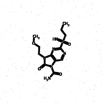 CCCS(=N)(=O)c1ncc2c(n1)n(CCOC)c(=O)n2C(N)=O